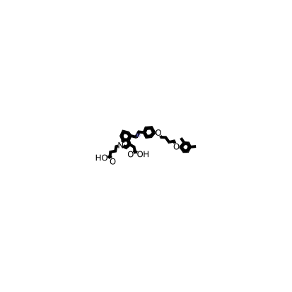 Cc1ccc(OCCCCOc2ccc(/C=C/c3cccc4c3c(CC(=O)O)cn4CCCC(=O)O)cc2)c(C)c1